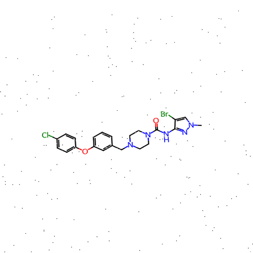 Cn1cc(Br)c(NC(=O)N2CCN(Cc3cccc(Oc4ccc(Cl)cc4)c3)CC2)n1